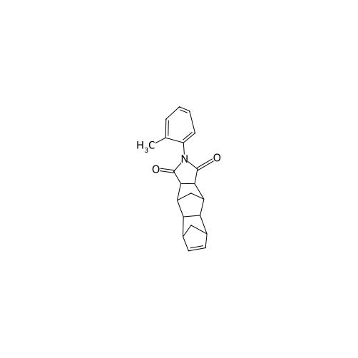 Cc1ccccc1N1C(=O)C2C3CC(C2C1=O)C1C2C=CC(C2)C31